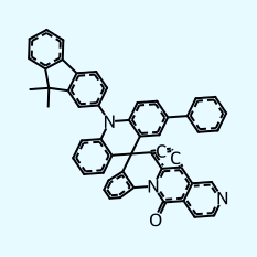 CC1(C)c2ccccc2-c2ccc(N3c4ccccc4C4(c5cc(-c6ccccc6)ccc53)c3ccccc3-n3c(=O)c5ccncc5c5cccc4c53)cc21